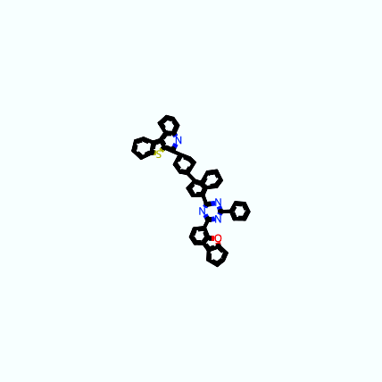 c1ccc(-c2nc(-c3ccc(-c4ccc(-c5nc6ccccc6c6c5sc5ccccc56)cc4)c4ccccc34)nc(-c3cccc4c3oc3ccccc34)n2)cc1